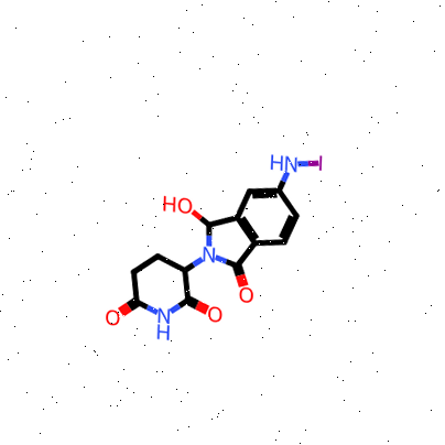 O=C1CCC(N2C(=O)c3ccc(NI)cc3C2O)C(=O)N1